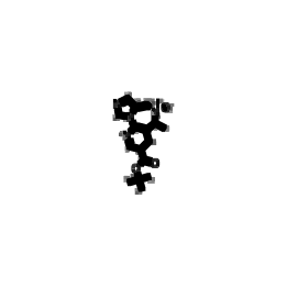 CC1C2=C(N=CC(C(=O)OC(C)(C)C)C2)N2CN=CC2=C[NH+]1[O-]